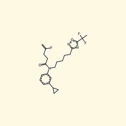 C=C(F)CCC(=O)N(CCCCCc1noc(C(C)(F)F)n1)c1cccc(C2CC2)c1